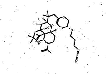 C=C(C)[C@@H]1CC[C@H]2[C@@]34COC5(OC(C)(C)O[C@H]1[C@@]25C(C)=O)[C@@H](O)[C@@H]3C(C)(C)CC1=C4O[C@@H](OCCCN=[N+]=[N-])CC1